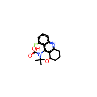 CC(C)(C)N(C(=O)O)c1c2c(nc3cccc(F)c13)CCCC2=O